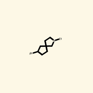 CCN1CCC2(CCC(C(C)C)C2)C1